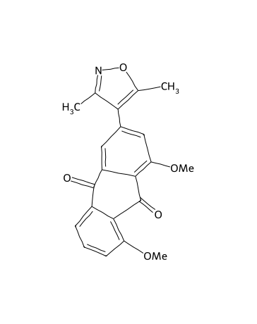 COc1cccc2c1C(=O)c1c(OC)cc(-c3c(C)noc3C)cc1C2=O